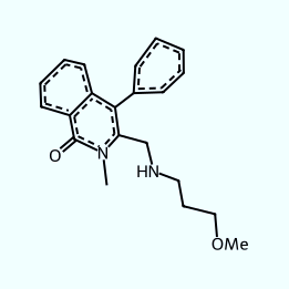 COCCCNCc1c(-c2ccccc2)c2ccccc2c(=O)n1C